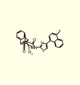 CCN1C(=O)C2CC(C)(C(=O)Nc3nc(-c4ccc(F)c5ccccc45)cs3)C1c1ccccc12